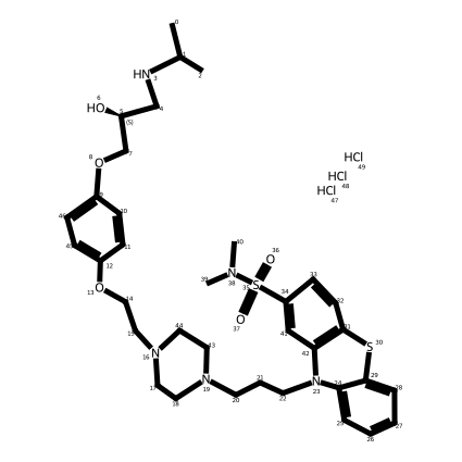 CC(C)NC[C@H](O)COc1ccc(OCCN2CCN(CCCN3c4ccccc4Sc4ccc(S(=O)(=O)N(C)C)cc43)CC2)cc1.Cl.Cl.Cl